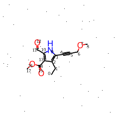 CCc1c(C#CCOC)[nH]c(C=O)c1C(=O)OC